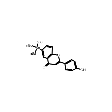 CCC[CH2][Sn]([CH2]CCC)([CH2]CCC)[c]1ccc2oc(-c3ccc(O)cc3)cc(=O)c2c1